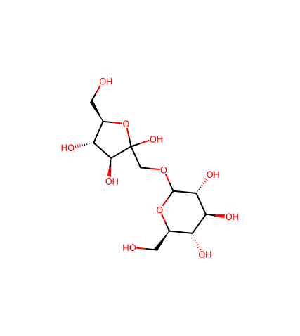 OC[C@H]1OC(O)(COC2O[C@H](CO)[C@@H](O)[C@H](O)[C@H]2O)[C@@H](O)[C@@H]1O